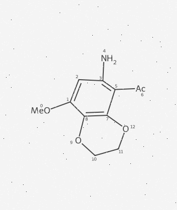 COc1cc(N)c(C(C)=O)c2c1OCCO2